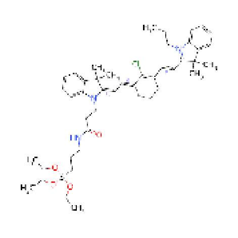 CCC[N+]1=C(/C=C/C2=C(Cl)C(=C/C=C3/N(CCC(=O)NCCC[Si](OCC)(OCC)OCC)c4ccccc4C3(C)C)/CCC2)C(C)(C)c2ccccc21